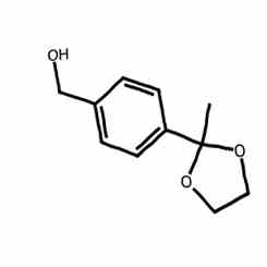 CC1(c2ccc(CO)cc2)OCCO1